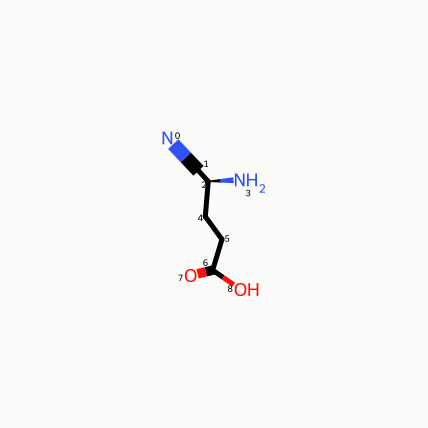 N#C[C@@H](N)CCC(=O)O